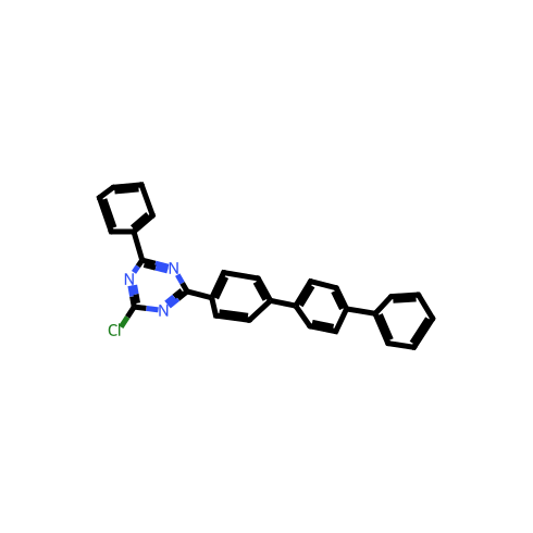 Clc1nc(-c2ccccc2)nc(-c2ccc(-c3ccc(-c4ccccc4)cc3)cc2)n1